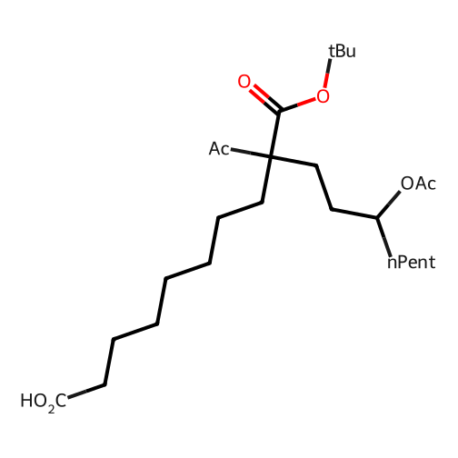 CCCCCC(CCC(CCCCCCCC(=O)O)(C(C)=O)C(=O)OC(C)(C)C)OC(C)=O